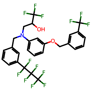 OC(CN(Cc1cccc(C(F)(F)C(F)(F)C(F)(F)F)c1)c1cccc(OCc2cccc(C(F)(F)F)c2)c1)C(F)(F)F